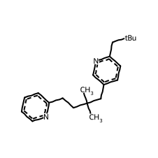 CC(C)(C)Cc1ccc(CC(C)(C)CCc2ccccn2)cn1